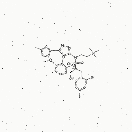 COc1cccc(OC)c1-n1c(-c2ccc(C)o2)nnc1N(CC[Si](C)(C)C)S(=O)(=O)[C@H](CO)Cc1ccc(F)cc1Br